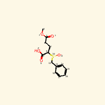 COC(=O)CCC(C(=O)O)[S+]([O-])Cc1ccccc1